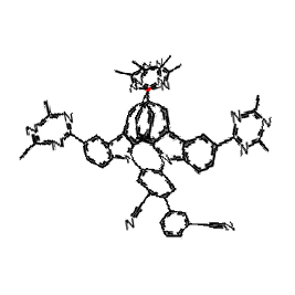 Cc1nc(C)nc(-c2ccc3c(c2)c2cc(-c4nc(C)nc(C)n4)ccc2n3-c2cc(C#N)c(-c3cccc(C#N)c3)cc2-n2c3ccc(-c4nc(C)nc(C)n4)cc3c3cc(-c4nc(C)nc(C)n4)ccc32)n1